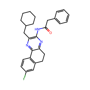 O=C(Cc1ccccc1)Nc1nc2c(nc1CC1CCCCC1)-c1ccc(F)cc1CC2